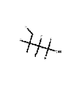 CC(F)(CF)C(F)(F)C(O)(F)F